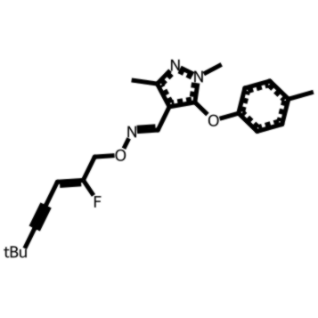 Cc1ccc(Oc2c(C=NOCC(F)=CC#CC(C)(C)C)c(C)nn2C)cc1